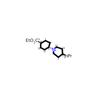 CCCC1CCN([C@H]2CC[C@H](C(=O)OCC)CC2)CC1